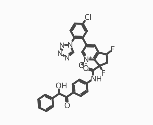 O=C(c1ccc(NC(=O)C2(F)CC(F)c3cc(-c4cc(Cl)ccc4-n4cnnn4)c[n+]([O-])c32)cc1)C(O)c1ccccc1